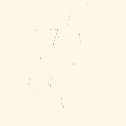 CCc1cccc(Sc2cccc(CC)c2C)c1C